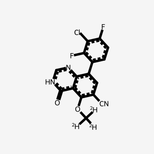 [2H]C([2H])([2H])Oc1c(C#N)cc(-c2ccc(F)c(Cl)c2F)c2nc[nH]c(=O)c12